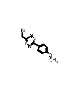 COc1ccc(-c2nnc(CBr)nn2)cc1